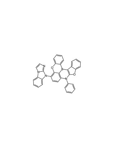 c1ccc(N2c3ccc(-n4c5ccccc5n5ccnc45)c4c3B(c3ccccc3O4)c3c2oc2ccccc32)cc1